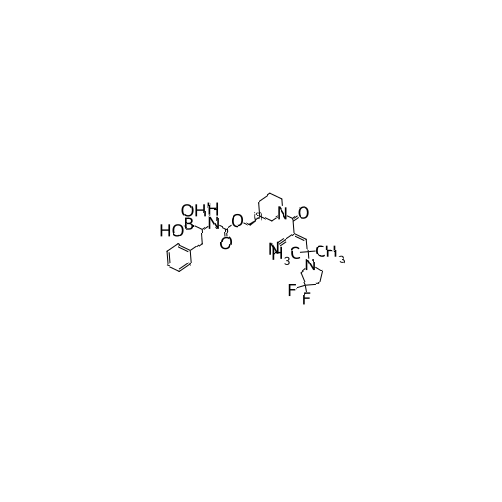 CC(C)(C=C(C#N)C(=O)N1CCC[C@H](COC(=O)NC(Cc2ccccc2)B(O)O)C1)N1CCC(F)(F)C1